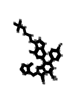 Cc1ocnc1Cn1nc2c(-c3cc(C)c4c(cnn4COCC[Si](C)(C)C)c3)c(-c3ccc(F)cc3)nc(N)n2c1=O